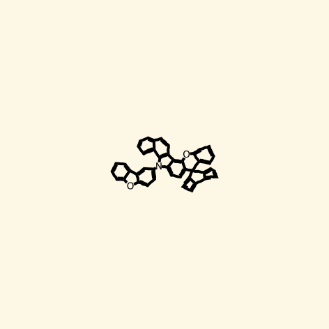 c1ccc2c(c1)Oc1c(ccc3c1c1ccc4ccccc4c1n3-c1ccc3oc4ccccc4c3c1)C21c2ccccc2-c2ccccc21